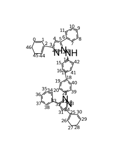 C1=CC(c2cc(-c3ccccc3)n(Nc3ccc(-c4ccc(-n5nc(C6=CCCC=C6)cc5-c5ccccc5)cc4)cc3)n2)=CCC1